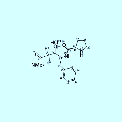 CNC(=O)C(F)(F)C(O)C(Cc1ccccc1)NC(=O)[C@H]1CCCN1.Cl